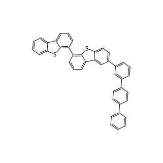 c1ccc(-c2ccc(-c3cccc(-c4ccc5sc6c(-c7cccc8c7sc7ccccc78)cccc6c5c4)c3)cc2)cc1